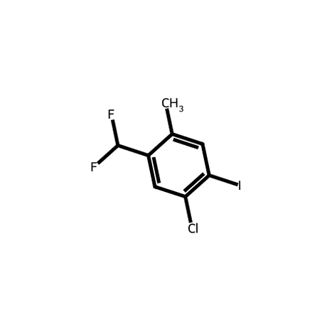 Cc1cc(I)c(Cl)cc1C(F)F